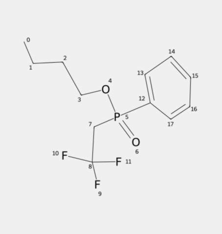 CCCCOP(=O)(CC(F)(F)F)c1ccccc1